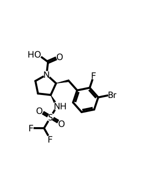 O=C(O)N1CC[C@H](NS(=O)(=O)C(F)F)[C@@H]1Cc1cccc(Br)c1F